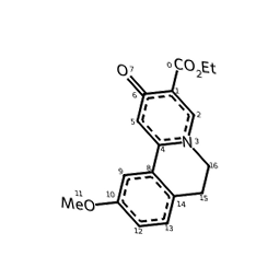 CCOC(=O)c1cn2c(cc1=O)-c1cc(OC)ccc1CC2